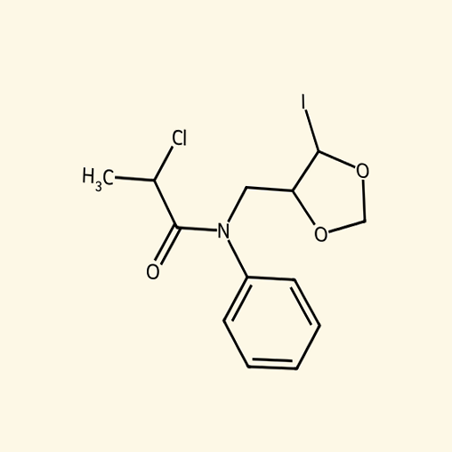 CC(Cl)C(=O)N(CC1OCOC1I)c1ccccc1